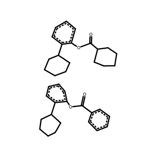 O=C(Oc1ccccc1C1CCCCC1)C1CCCCC1.O=C(Oc1ccccc1C1CCCCC1)c1ccccc1